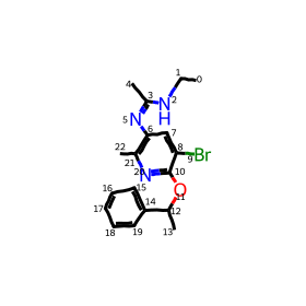 CCNC(C)=Nc1cc(Br)c(OC(C)c2ccccc2)nc1C